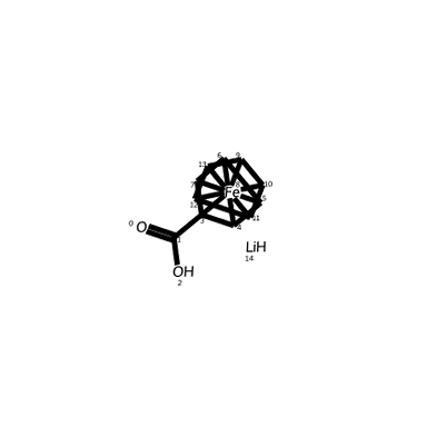 O=C(O)[C]12[CH]3[CH]4[CH]5[CH]1[Fe]45321678[CH]2[CH]1[CH]6[CH]7[CH]28.[LiH]